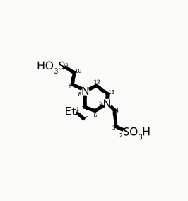 CCC.O=S(=O)(O)CCN1CCN(CCS(=O)(=O)O)CC1